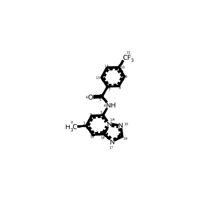 Cc1cc(NC(=O)c2ccc(C(F)(F)F)cc2)n2ncnc2c1